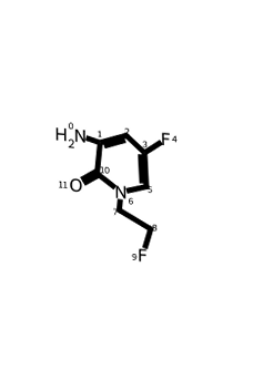 Nc1cc(F)cn(CCF)c1=O